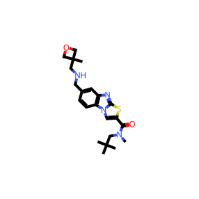 CN(CC(C)(C)C)C(=O)c1cn2c(nc3cc(CNCC4(C)COC4)ccc32)s1